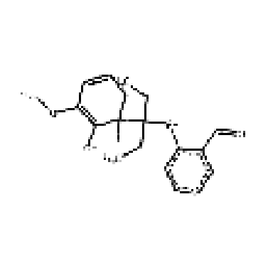 CCC(CC)(Pc1ccccc1C=O)C1(I)CC=CC(OC)=C1O